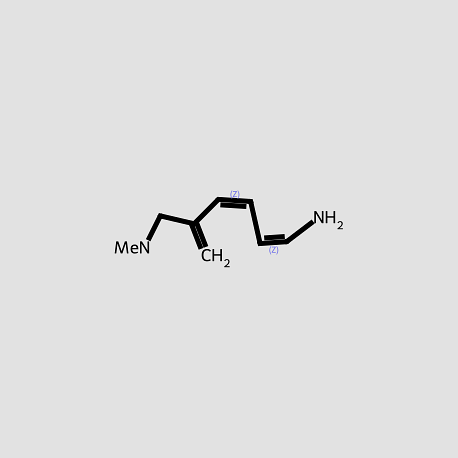 C=C(/C=C\C=C/N)CNC